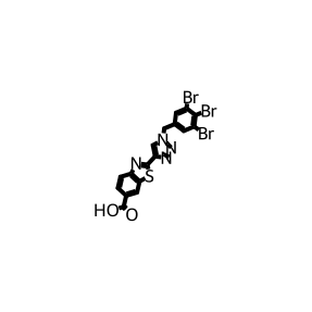 O=C(O)c1ccc2nc(-c3cn(Cc4cc(Br)c(Br)c(Br)c4)nn3)sc2c1